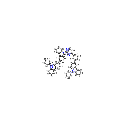 c1ccc(-n2c3ccccc3c3cc(-c4cccc(-c5ccnc(-n6c7ccccc7c7cc(-c8ccc9c%10ccccc%10n(-c%10ccccc%10)c9c8)ccc76)n5)c4)ccc32)cc1